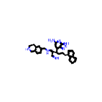 N=C/C(=C\NCc1ccc2c(c1)CCNC2)C(CCCc1cccc2ccccc12)c1cc(N)nc2[nH]nnc12